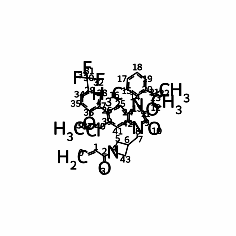 C=CC(=O)N1CC(Cn2c(=O)c(=O)n(-c3c(C)cccc3C(C)C)c3cc(-c4cc(C(F)(F)F)ccc4OC)c(Cl)cc32)C1